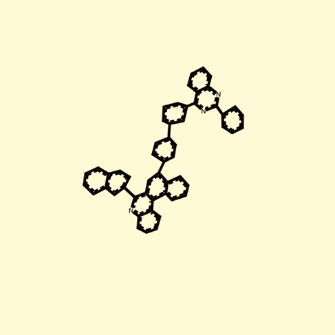 c1ccc(-c2nc(-c3cccc(-c4ccc(-c5cc6c(-c7ccc8ccccc8c7)nc7ccccc7c6c6ccccc56)cc4)c3)c3ccccc3n2)cc1